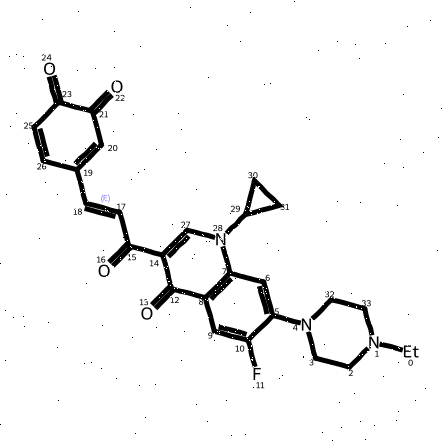 CCN1CCN(c2cc3c(cc2F)c(=O)c(C(=O)/C=C/C2=CC(=O)C(=O)C=C2)cn3C2CC2)CC1